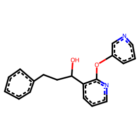 OC(CCc1ccccc1)c1cccnc1Oc1cccnc1